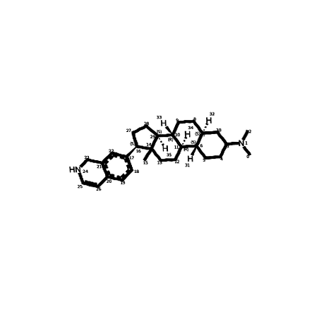 CN(C)C1CC[C@H]2[C@@H](CC[C@@H]3[C@@H]2CCC2(C)[C@@H](c4ccc5c(c4)CNC=C5)CC[C@@H]32)C1